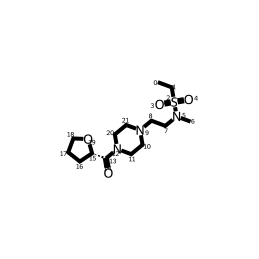 CCS(=O)(=O)N(C)CCN1CCN(C(=O)[C@@H]2CCCO2)CC1